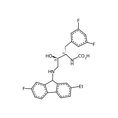 CCc1ccc2c(c1)C(NC[C@@H](O)[C@H](Cc1cc(F)cc(F)c1)NC(=O)O)c1cc(F)ccc1-2